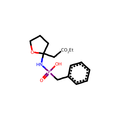 CCOC(=O)CC1(NP(=O)(O)Cc2ccccc2)CCCO1